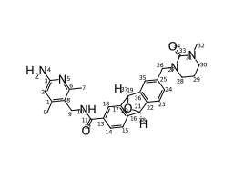 Cc1cc(N)nc(C)c1CNC(=O)c1ccc2c(c1)[C@@H]1O[C@H]2c2ccc(CN3CCCN(C)C3=O)cc21